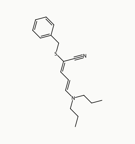 CCCN(C=CC=C(C#N)SCc1ccccc1)CCC